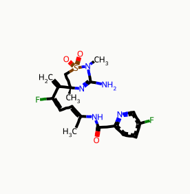 C=C(/C(F)=C\C=C(/C)NC(=O)c1ccc(F)cn1)[C@]1(C)CS(=O)(=O)N(C)C(N)=N1